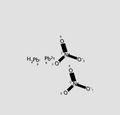 O=[N+]([O-])[O-].O=[N+]([O-])[O-].[Pb+2].[PbH2]